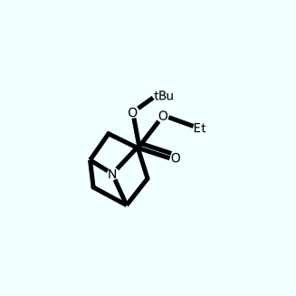 CCOC1CC2CC(C1)N2C(=O)OC(C)(C)C